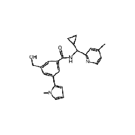 Cc1ccnc(C(NC(=O)c2cc(CO)cc(-c3cccn3C)c2)C2CC2)c1